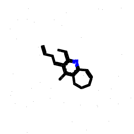 C=CC/C=c1/c(C)c2c(n/c1=C/C)C=CCCC2